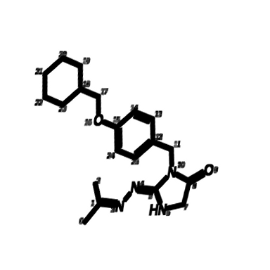 CC(C)=NN=C1NCC(=O)N1Cc1ccc(OCC2CCCCC2)cc1